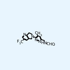 Cc1cc(CNC=O)nnc1N1CCc2ncc(C(F)(F)F)cc2C1